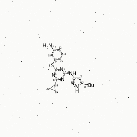 CC(C)(C)c1cc(Nc2nc(Sc3cccc(N)c3)nc(C3CC3)n2)n[nH]1